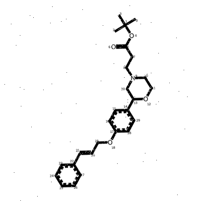 CC(C)(C)OC(=O)CCN1CCOC(c2ccc(OCC=Cc3ccccc3)cc2)C1